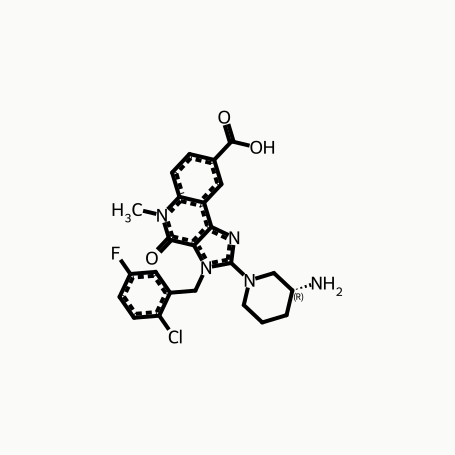 Cn1c(=O)c2c(nc(N3CCC[C@@H](N)C3)n2Cc2cc(F)ccc2Cl)c2cc(C(=O)O)ccc21